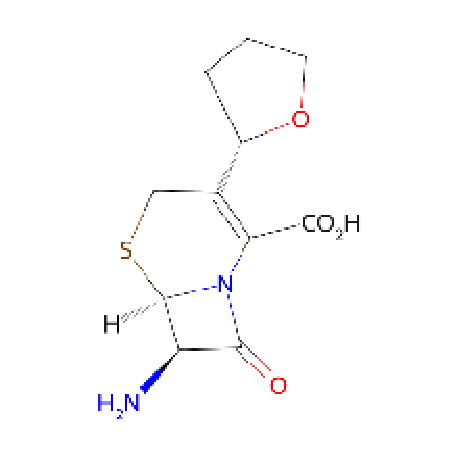 N[C@@H]1C(=O)N2C(C(=O)O)=C([C@@H]3CCCO3)CS[C@H]12